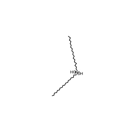 CCCCCCCCCCCCCCCCCCCC[N+](O)(O)CCCCCCCCCCCCCCCCCC